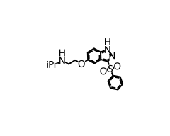 CC(C)NCCOc1ccc2[nH]nc(S(=O)(=O)c3ccccc3)c2c1